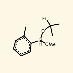 CCC(C)(C)O[SiH](OC)c1ccccc1C